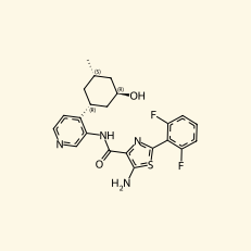 C[C@@H]1C[C@@H](O)C[C@H](c2ccncc2NC(=O)c2nc(-c3c(F)cccc3F)sc2N)C1